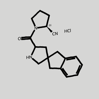 Cl.N#C[C@@H]1CCCN1C(=O)C1CC2(CN1)Cc1ccccc1C2